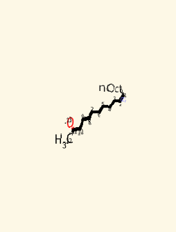 CCCCCCCC/C=C\CCCCCCCCC(C)[O]